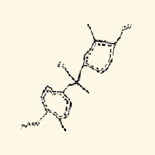 CCC(C)(c1ccc(OC)c(C)c1)c1ccc(OC(C)=O)c(C)c1